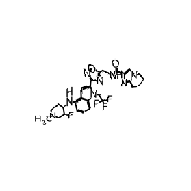 CN1CC[C@@H](Nc2cccc3c2cc(-c2noc(CNC(=O)c4cn5c(n4)CCCC5)n2)n3CC(F)(F)F)[C@@H](F)C1